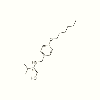 CCCCCCOc1ccc(CN[C@@H](CO)C(C)C)cc1